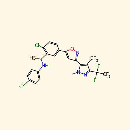 Cn1nc(C(F)(F)C(F)(F)F)c(C(F)(F)F)c1-c1cc(-c2ccc(Cl)c(C(S)Nc3ccc(Cl)cc3)c2)on1